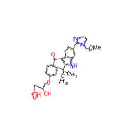 COCn1ccnc1-c1ccc2c3c([nH]c2c1)C(C)(C)c1cc(OCC(O)CO)ccc1C3=O